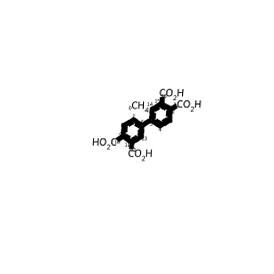 C.O=C(O)c1ccc(-c2ccc(C(=O)O)c(C(=O)O)c2)cc1C(=O)O